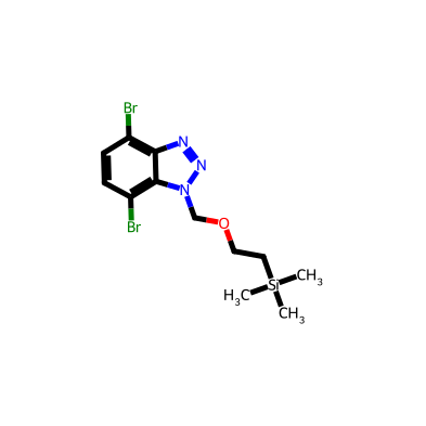 C[Si](C)(C)CCOCn1nnc2c(Br)ccc(Br)c21